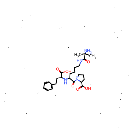 CC(C)(N)C(=O)NCCCC[C@H](N[C@@H](CCc1ccccc1)C(=O)O)C(=O)N1CCC[C@H]1C(=O)O